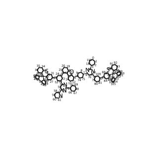 c1ccc(-c2nc(-c3ccc(-c4cccc5c4oc4cccc(-c6cc(-c7ccc8c(c7)Sc7ccccc7C87c8ccccc8-c8ccccc87)cc(-c7cc(-c8ccccn8)nc(-c8ccccc8)n7)c6)c45)cc3)cc(-c3cccc(-c4ccc5c(c4)Sc4ccccc4C54c5ccccc5-c5ccccc54)c3)n2)cc1